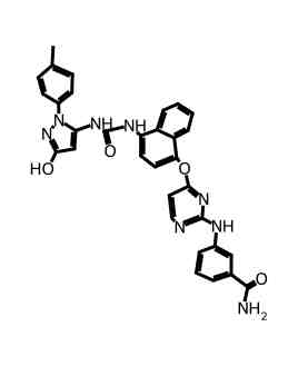 Cc1ccc(-n2nc(O)cc2NC(=O)Nc2ccc(Oc3ccnc(Nc4cccc(C(N)=O)c4)n3)c3ccccc23)cc1